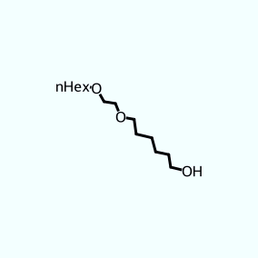 CCCCCCOCCOCCCCCCO